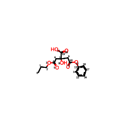 CCCOC(=O)CC(O)(CC(=O)Oc1ccccc1)C(=O)O